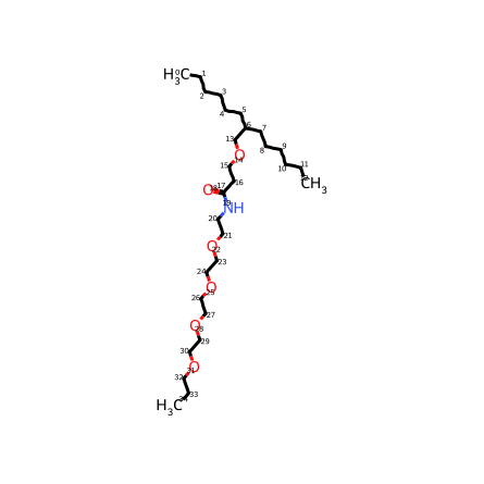 CCCCCCC(CCCCCC)COCCC(=O)NCCOCCOCCOCCOCCC